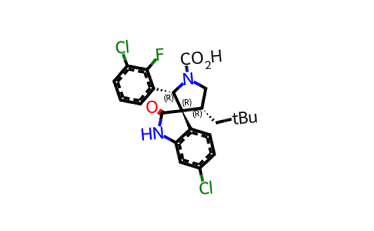 CC(C)(C)C[C@H]1CN(C(=O)O)[C@@H](c2cccc(Cl)c2F)[C@@]12C(=O)Nc1cc(Cl)ccc12